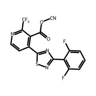 N#COC(=O)c1c(-c2nc(-c3c(F)cccc3F)ns2)ccnc1C(F)(F)F